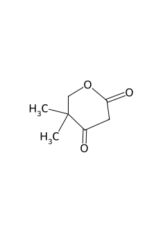 CC1(C)COC(=O)CC1=O